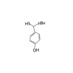 CCCCC(S)c1ccc(O)cc1